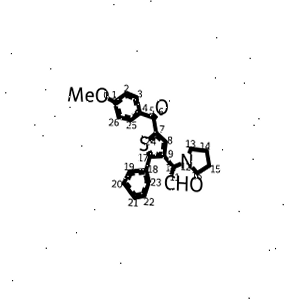 COc1ccc(C(=O)c2cc(C(C=O)N3CCCC3)c(-c3ccccc3)s2)cc1